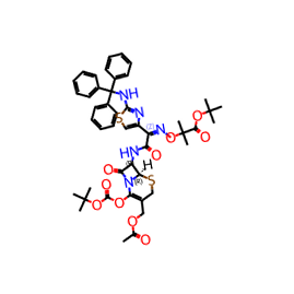 CC(=O)OCC1=C(OC(=O)OC(C)(C)C)N2C(=O)[C@@H](NC(=O)/C(=N\OC(C)(C)C(=O)OC(C)(C)C)c3csc(NC(c4ccccc4)(c4ccccc4)c4ccccc4)n3)[C@H]2SC1